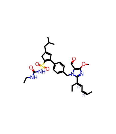 C/C=C\C=C(/CC)c1nc(OC)c(C=O)n1Cc1ccc(C2=C(S(=O)(=O)NC(=O)NCC)CC(CC(C)C)=C2)cc1